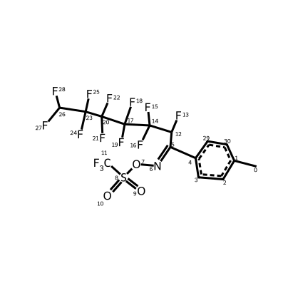 Cc1ccc(C(=NOS(=O)(=O)C(F)(F)F)C(F)C(F)(F)C(F)(F)C(F)(F)C(F)(F)C(F)F)cc1